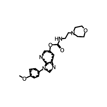 COc1ccc(-n2cnc3cc(OC(=O)NCCN4CCOCC4)cnc32)cc1